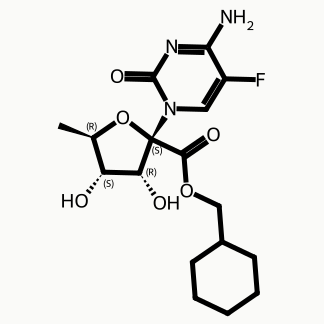 C[C@H]1O[C@@](C(=O)OCC2CCCCC2)(n2cc(F)c(N)nc2=O)[C@H](O)[C@@H]1O